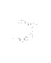 COc1cc(OCc2csc(-c3ccc(C(=O)N4CC(O)C4)cc3)n2)c2sc(-c3cn4nc(C)sc4n3)nc2c1